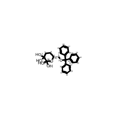 OC1(O)CC[C@H](COC(c2ccccc2)(c2ccccc2)c2ccccc2)OC1(O)O